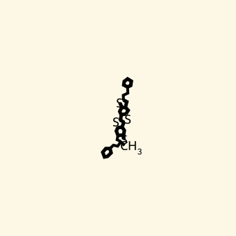 CC1(CCc2ccccc2)Cc2cc3sc4c5cc6sc(CCc7ccccc7)cc6cc5sc4c3cc2S1